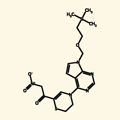 C[Si](C)(C)CCOCn1ccc2c(N3C=C(C(=O)C[N+](=O)[O-])SCC3)ncnc21